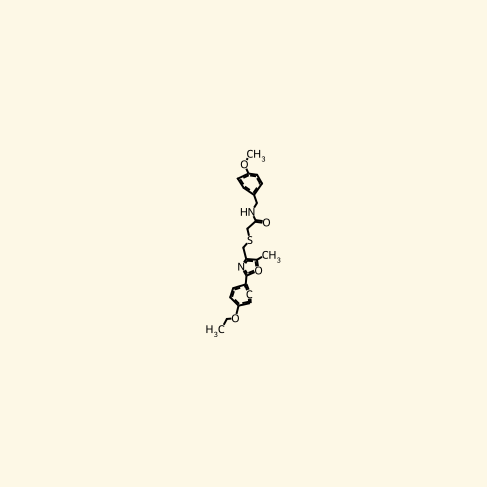 CCOc1ccc(-c2nc(CSCC(=O)NCc3ccc(OC)cc3)c(C)o2)cc1